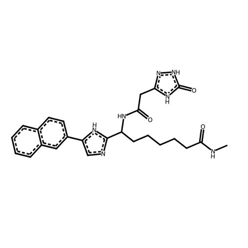 CNC(=O)CCCCCC(NC(=O)Cc1n[nH]c(=O)[nH]1)c1ncc(-c2ccc3ccccc3c2)[nH]1